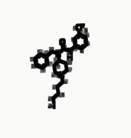 O=C(Nc1cccc(C(F)(F)F)c1)N(Cc1ccccc1)C1CCN(CCCCI)CC1